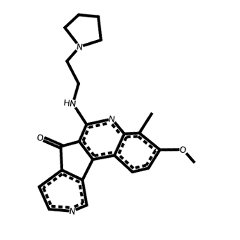 COc1ccc2c3c(c(NCCN4CCCC4)nc2c1C)C(=O)c1ccncc1-3